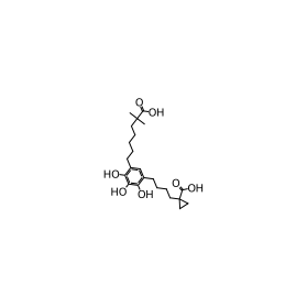 CC(C)(CCCCCc1cc(CCCCC2(C(=O)O)CC2)c(O)c(O)c1O)C(=O)O